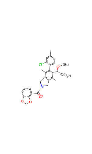 Cc1ccc(-c2c(C)c3c(c(C)c2C(OC(C)(C)C)C(=O)O)CN(C(=O)c2cccc4c2OCO4)C3)c(Cl)c1